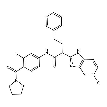 Cc1cc(NC(=O)C(CCc2ccccc2)c2nc3cc(Cl)ccc3[nH]2)ccc1C(=O)N1CCCC1